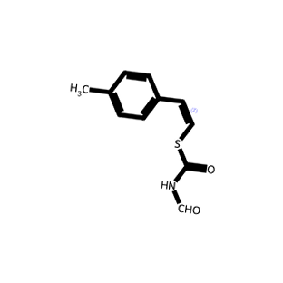 Cc1ccc(/C=C\SC(=O)NC=O)cc1